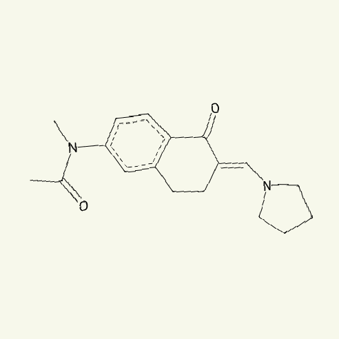 CC(=O)N(C)c1ccc2c(c1)CCC(=CN1CCCC1)C2=O